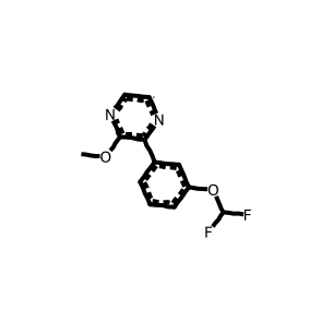 COc1nc[c]nc1-c1cccc(OC(F)F)c1